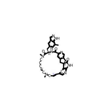 Cc1cc(C[C@H]2NC(=O)c3cc4c(cn3)C[C@@]3(C4)C(=O)Nc4ncc(cc43)/C=C/CN(C)CCCCCN(C)C2=O)cc2cn[nH]c12